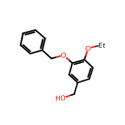 CCOc1ccc(CO)cc1OCc1ccccc1